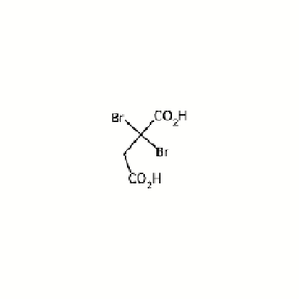 O=C(O)CC(Br)(Br)C(=O)O